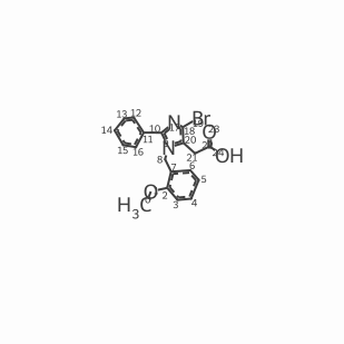 COc1ccccc1Cn1c(-c2ccccc2)nc(Br)c1CC(=O)O